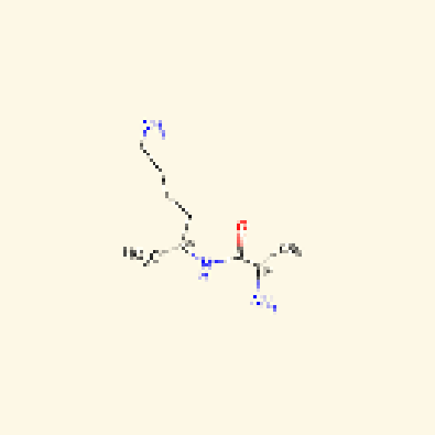 CCCC[C@H](N)C(=O)N[C@@H](CCCCN)C(=O)O